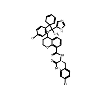 CC(NC1CCOc2c(C(=O)N[C@@H](Cc3ccc(Cl)cc3)C(N)=O)cccc21)(c1cnc[nH]1)C1(c2ccc(Cl)cc2)C=CC=CC1